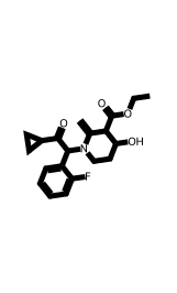 C=C1C(C(=O)OCC)C(O)CCN1C(C(=O)C1CC1)c1ccccc1F